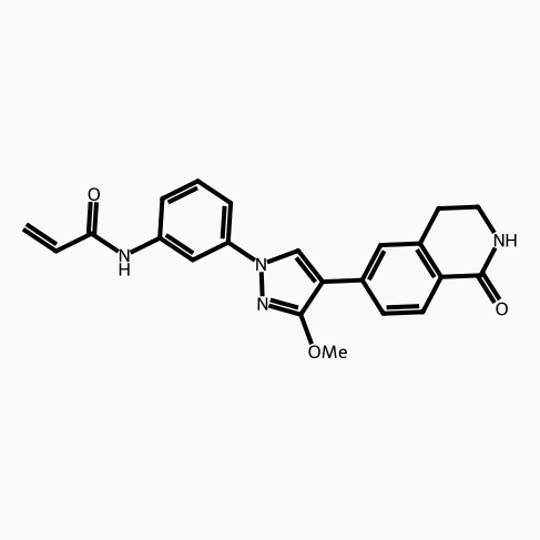 C=CC(=O)Nc1cccc(-n2cc(-c3ccc4c(c3)CCNC4=O)c(OC)n2)c1